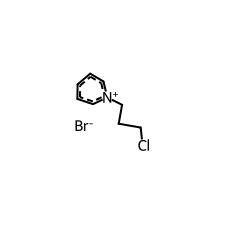 ClCCC[n+]1ccccc1.[Br-]